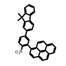 CC1(C)c2ccccc2-c2ccc(-c3ccc([N+](=O)[O-])c(-c4ccc5ccc6cccc7ccc4c5c67)c3)cc21